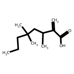 C=C(C(=O)O)C(C)CC(C)(C)CCC